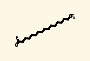 O=C(F)CCCCCCCCCCCCCCCC(F)(F)F